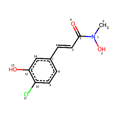 CN(O)C(=O)C=Cc1ccc(Cl)c(O)c1